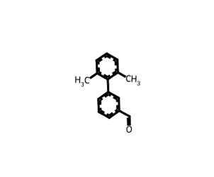 Cc1cccc(C)c1-c1cccc(C=O)c1